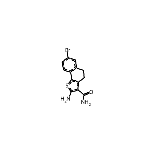 NC(=O)c1c(N)sc2c1CCc1cc(Br)ccc1-2